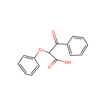 O=C(O)C(Oc1ccccc1)C(=O)c1ccccc1